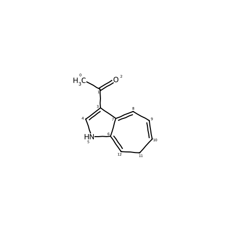 CC(=O)c1c[nH]c2c1=CC=CCC=2